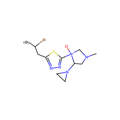 CCCCC(Br)Cc1nnc([N+]2([O-])CN(C)CC2N2CC2)s1